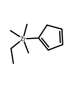 C[CH2][Zr]([CH3])([CH3])([CH3])[C]1=CC=CC1